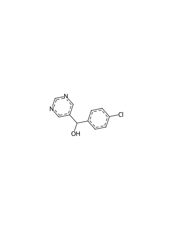 OC(c1ccc(Cl)cc1)c1cncnc1